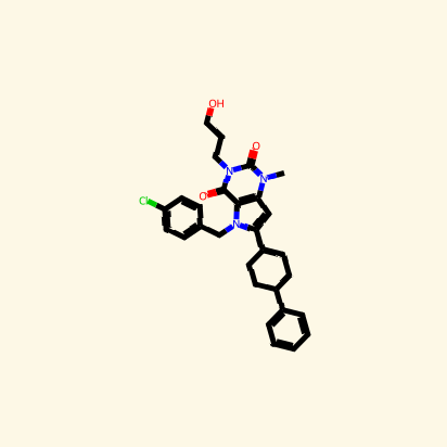 Cn1c(=O)n(CCCO)c(=O)c2c1cc(C1CCC(c3ccccc3)CC1)n2Cc1ccc(Cl)cc1